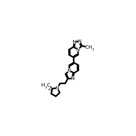 Cc1nnc2ccc(-c3ccc4nc(CCN5CCC[C@H]5C)cn4c3)cn12